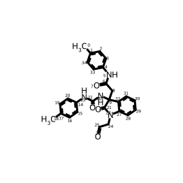 Cc1ccc(NC(=O)CC2(NC(=O)Nc3ccc(C)cc3)C(=O)N(CC=O)c3ccccc32)cc1